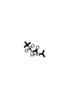 CC(C)NC(=O)NS(=O)(=O)C(C)(C)C